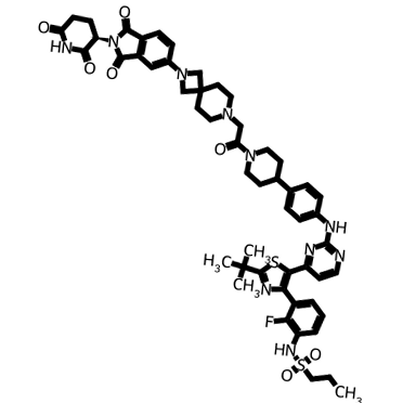 CCCS(=O)(=O)Nc1cccc(-c2nc(C(C)(C)C)sc2-c2ccnc(Nc3ccc(C4CCN(C(=O)CN5CCC6(CC5)CN(c5ccc7c(c5)C(=O)N([C@@H]5CCC(=O)NC5=O)C7=O)C6)CC4)cc3)n2)c1F